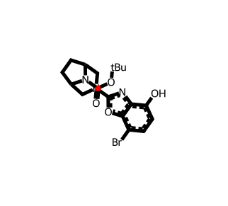 CC(C)(C)OC(=O)N1C2CCC1CN(c1nc3c(O)ccc(Br)c3o1)C2